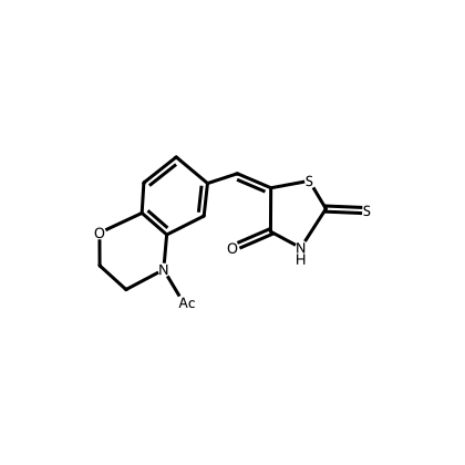 CC(=O)N1CCOc2ccc(C=C3SC(=S)NC3=O)cc21